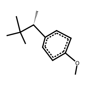 COc1ccc([C@@H](C)C(C)(C)C)cc1